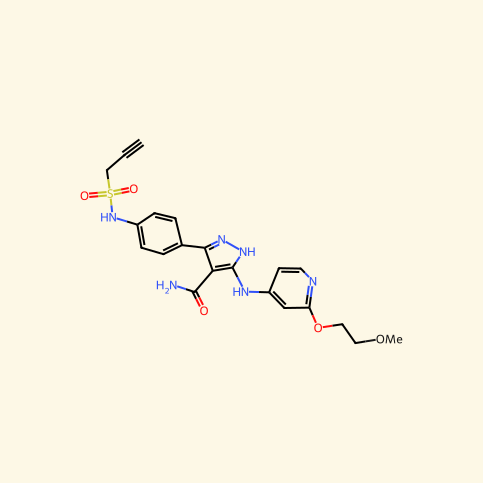 C#CCS(=O)(=O)Nc1ccc(-c2n[nH]c(Nc3ccnc(OCCOC)c3)c2C(N)=O)cc1